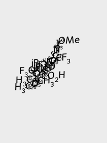 COCC1CN(CCc2cn(C(CC(C)C)C(=O)NC(CC(=O)O)c3cc(-c4c(C)ccc(C)c4C)cc(C(F)(F)F)c3F)c(=O)cc2C(F)(F)F)C1